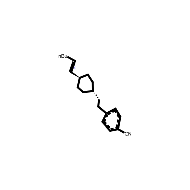 CCCC/C=C/[C@H]1CC[C@H](CCc2ccc(C#N)cc2)CC1